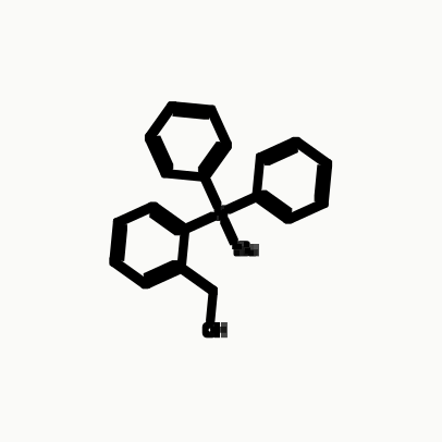 CC(C)(C)[Si](c1ccccc1)(c1ccccc1)c1ccccc1CO